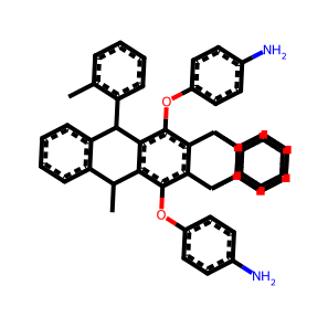 Cc1ccccc1C1c2ccccc2C(C)c2c(Oc3ccc(N)cc3)c3c(c(Oc4ccc(N)cc4)c21)C1c2ccccc2C3c2ccccc21